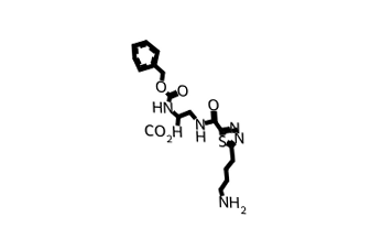 NCCCCc1nnc(C(=O)NCC(NC(=O)OCc2ccccc2)C(=O)O)s1